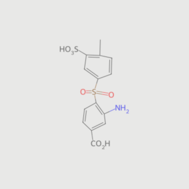 Cc1ccc(S(=O)(=O)c2ccc(C(=O)O)cc2N)cc1S(=O)(=O)O